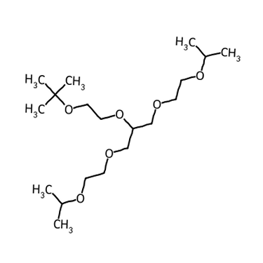 CC(C)OCCOCC(COCCOC(C)C)OCCOC(C)(C)C